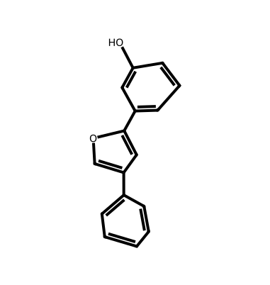 Oc1cccc(-c2cc(-c3ccccc3)co2)c1